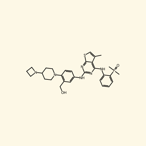 Cc1csc2nc(Nc3ccc(N4CCC(N5CCC5)CC4)c(CO)c3)nc(Nc3ccccc3P(C)(C)=O)c12